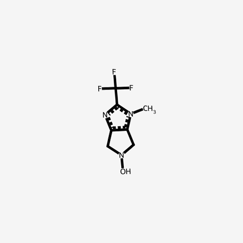 Cn1c(C(F)(F)F)nc2c1CN(O)C2